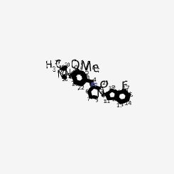 COc1cc(/C=C2\CCCN([C@@H]3Cc4cccc(F)c4C3)C2=O)ccc1-n1cnc(C)c1